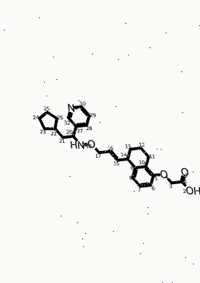 O=C(O)COc1cccc2c1CCCC2/C=C/CONC(CC1CCCC1)c1cccnc1